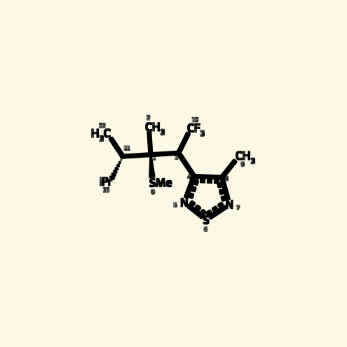 CS[C@@](C)(C(c1nsnc1C)C(F)(F)F)[C@@H](C)C(C)C